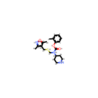 Cc1ccccc1OC(=O)N(CSCc1c(C)noc1C)C1CCNCC1